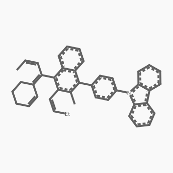 C/C=C\C(=C1\C=CCCC1)c1c(/C=C\CC)c(C)c(-c2ccc(-n3c4ccccc4c4ccccc43)cc2)c2ccccc12